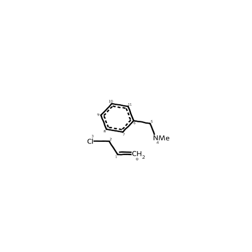 C=CCCl.CNCc1ccccc1